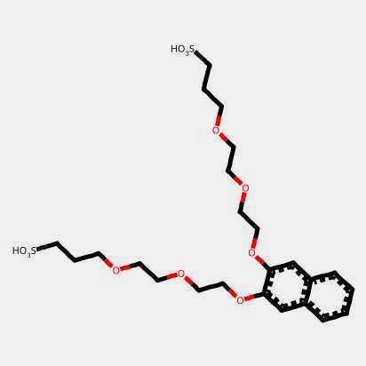 O=S(=O)(O)CCCOCCOCCOc1cc2ccccc2cc1OCCOCCOCCCS(=O)(=O)O